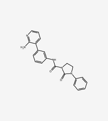 Nc1ncccc1-c1cccc(NC(=O)N2CCN(c3ccccc3)C2=O)c1